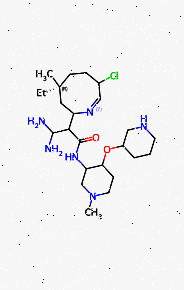 CC[C@]1(C)CCC(Cl)/C=N\C(C(C(=O)NC2CN(C)CCC2OC2CCCNC2)C(N)N)C1